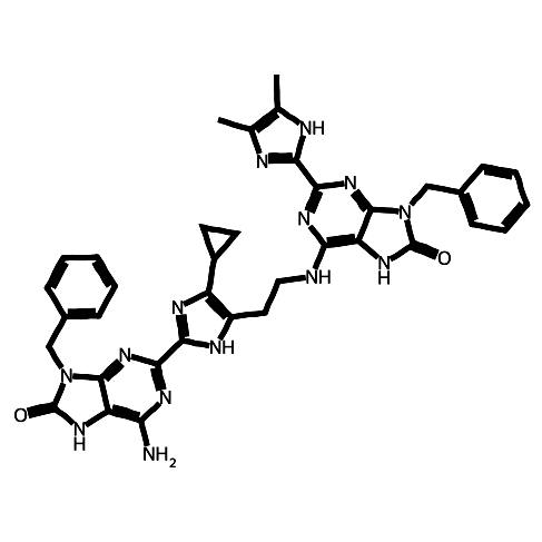 Cc1nc(-c2nc(NCCc3[nH]c(-c4nc(N)c5[nH]c(=O)n(Cc6ccccc6)c5n4)nc3C3CC3)c3[nH]c(=O)n(Cc4ccccc4)c3n2)[nH]c1C